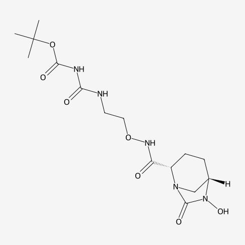 CC(C)(C)OC(=O)NC(=O)NCCONC(=O)[C@@H]1CC[C@H]2CN1C(=O)N2O